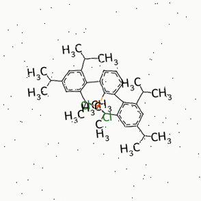 CC(C)c1cc(C(C)C)c(-c2cccc(-c3c(C(C)C)cc(C(C)C)cc3C(C)C)c2P(Cl)Cl)c(C(C)C)c1